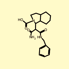 NC(=O)C(C(=O)NCc1ccccc1)C1C2CCCCC2CCN1C(=O)O